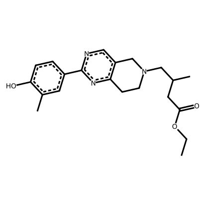 CCOC(=O)CC(C)CN1CCc2nc(-c3ccc(O)c(C)c3)ncc2C1